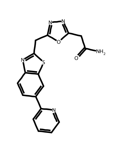 NC(=O)Cc1nnc(Cc2nc3ccc(-c4ccccn4)cc3s2)o1